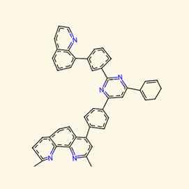 Cc1ccc2ccc3c(-c4ccc(-c5cc(C6=CCCC=C6)nc(-c6cccc(-c7cccc8cccnc78)c6)n5)cc4)cc(C)nc3c2n1